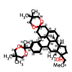 COC[C@]1(O)CC[C@H]2[C@@H]3CC=C4CC5(CC[C@@]46Cc4cc(C7(C)OCC(C)(C)CO7)ccc4C(C[C@@]21C)C36)OCC(C)(C)CO5